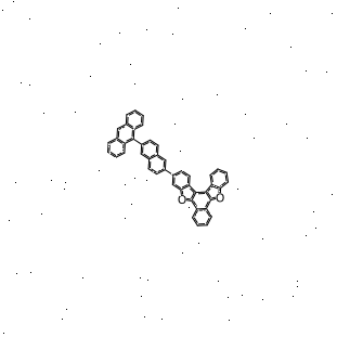 c1ccc2c(-c3ccc4cc(-c5ccc6c(c5)oc5c7ccccc7c7oc8ccccc8c7c65)ccc4c3)c3ccccc3cc2c1